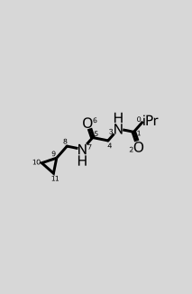 CC(C)C(=O)NCC(=O)NCC1CC1